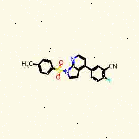 Cc1ccc(S(=O)(=O)n2ccc3c(-c4ccc(F)c(C#N)c4)ccnc32)cc1